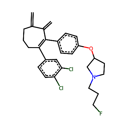 C=C1CCCC(c2ccc(Cl)c(Cl)c2)=C(c2ccc(OC3CCN(CCCF)C3)cc2)C1=C